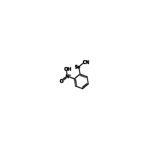 N#C[Se]c1ccccc1[N+](=O)O